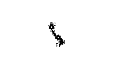 CCc1cnn(CC2CCN(CCCCC[C@H]3CC[C@H](C(C)=O)CC3)CC2)c1